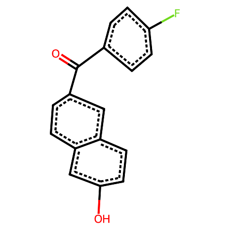 O=C(c1ccc(F)cc1)c1ccc2cc(O)ccc2c1